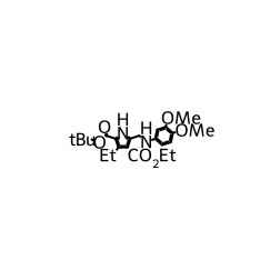 CCOC(=O)c1c(CNc2ccc(OC)c(OC)c2)[nH]c(C(=O)OC(C)(C)C)c1CC